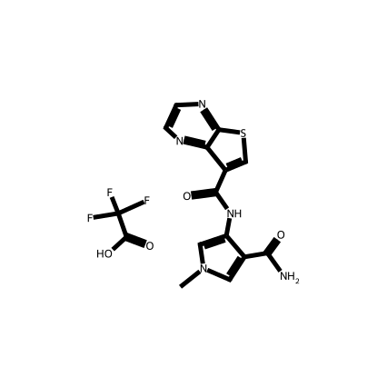 Cn1cc(NC(=O)c2csc3nccnc23)c(C(N)=O)c1.O=C(O)C(F)(F)F